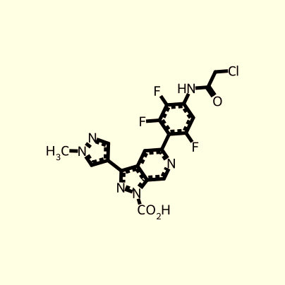 Cn1cc(-c2nn(C(=O)O)c3cnc(-c4c(F)cc(NC(=O)CCl)c(F)c4F)cc23)cn1